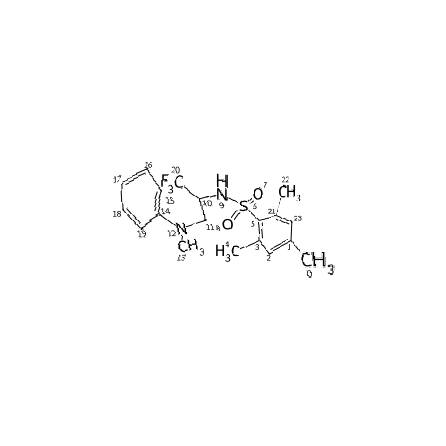 Cc1cc(C)c(S(=O)(=O)NC(CN(C)c2ccccc2)C(F)(F)F)c(C)c1